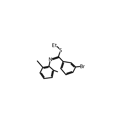 CCS/C(=N/c1c(C)cccc1C)c1cccc(Br)c1